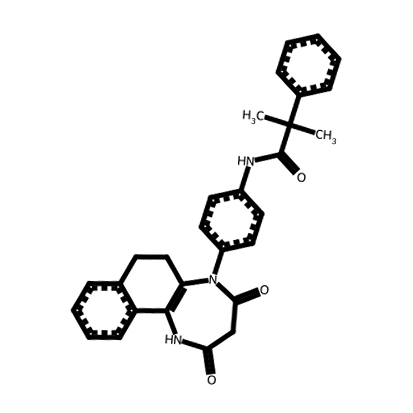 CC(C)(C(=O)Nc1ccc(N2C(=O)CC(=O)NC3=C2CCc2ccccc23)cc1)c1ccccc1